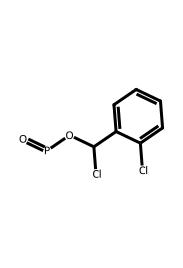 O=POC(Cl)c1ccccc1Cl